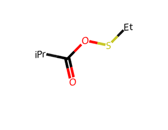 CCSOC(=O)C(C)C